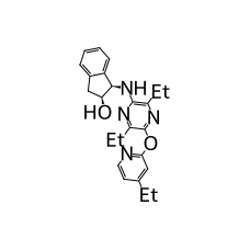 CCc1ccnc(Oc2nc(CC)c(N[C@@H]3c4ccccc4C[C@@H]3O)nc2CC)c1